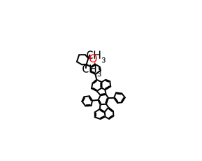 CC12CCCCC1(C)c1cc(-c3ccc4c5c(-c6ccccc6)c6c7cccc8cccc(c6c(-c6ccccc6)c5c5cccc3c54)c87)ccc1O2